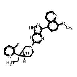 NC[C@]1(c2ncccc2F)[C@@H]2CCN(c3cnc4c(-c5ccc(OC(F)(F)F)c6ncccc56)n[nH]c4n3)C[C@@H]21